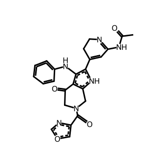 CC(=O)NC1=NCCC(c2[nH]c3c(c2NC2=C=C=CC=C2)C(=O)CN(C(=O)c2cocn2)C3)=C1